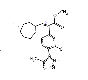 COC(=O)/C(=C/C1CCCCCC1)c1ccc(-n2nnnc2C)c(Cl)c1